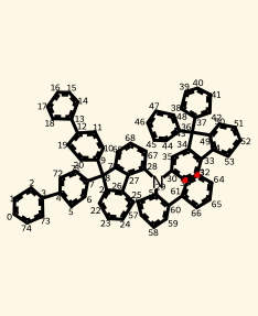 c1ccc(-c2ccc(C3(c4ccc(-c5ccccc5)cc4)c4ccccc4-c4c(N(c5ccc6c(c5)C(c5ccccc5)(c5ccccc5)c5ccccc5-6)c5ccccc5-c5ccccc5)cccc43)cc2)cc1